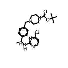 C[C@H](Nc1nccc(Cl)n1)c1ccc(CN2CCN(C(=O)OC(C)(C)C)CC2)cc1